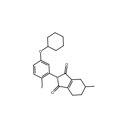 CC1CCC2=C(C1)C(=O)N(c1cc(OC3CCCCC3)ccc1F)C2=O